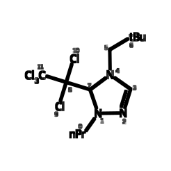 CCCN1N=CN(CC(C)(C)C)C1C(Cl)(Cl)C(Cl)(Cl)Cl